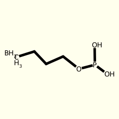 B.CCCCOP(O)O